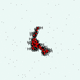 C=CC(C)(O)CC/C=C(\CO)C(=O)O[C@@H]1C(C)O[C@@H](O[C@](C)(C=C)CC/C=C(\CO)C(=O)O[C@H]2C[C@@]3(C(=O)O[C@@H]4OC(CO)[C@@H](O)C(O)[C@@H]4O[C@@H]4OC(C)[C@H](O[C@@H]5O[C@@H](CO)[C@H](O)[C@@H]5O)C(O[C@@H]5OC(CO)[C@@H](O)C(O)[C@@H]5O)[C@@H]4O)C(CC2(C)C)C2=C[C@@H](O)C4[C@@]5(C)CC[C@H](O[C@@H]6OC(CO[C@@H]7OC(C)[C@H](O)C(O)[C@@H]7O[C@@H]7OC[C@@H](O)C(O)[C@@H]7O)[C@@H](O)C(O)[C@@H]6C)C(C)(C)C5CC[C@@]4(C)[C@]2(C)C[C@H]3O)[C@@H](O)C1O